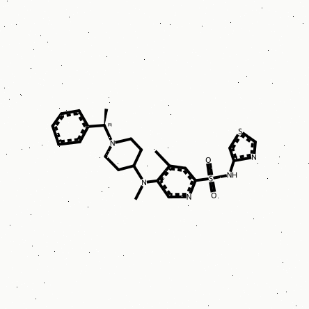 Cc1cc(S(=O)(=O)Nc2cscn2)ncc1N(C)C1CCN([C@H](C)c2ccccc2)CC1